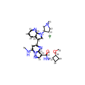 CNc1cc(-c2cn([C@H]3CN(C)C[C@@H]3F)c3ncccc23)nc2c(C(=O)N[C@H]3CC[C@@H]3OC)cnn12